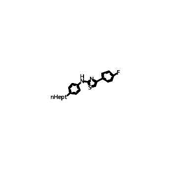 CCCCCCCc1ccc(Nc2nc(-c3ccc(F)cc3)cs2)cc1